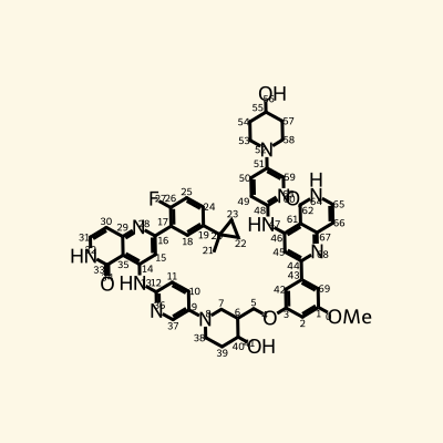 COc1cc(OCC2CN(c3ccc(Nc4cc(-c5cc(C6(C)CC6)ccc5F)nc5cc[nH]c(=O)c45)nc3)CCC2O)cc(-c2cc(Nc3ccc(N4CCC(O)CC4)cn3)c3c(=O)[nH]ccc3n2)c1